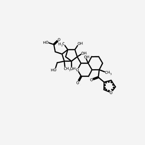 CC1(C(=O)c2ccoc2)CCCC2(O)C1CC(=O)OC2C1(O)C(O)C2(C)CC1(O)C(C)(CO)C2CC(=O)O